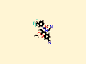 CCOC(=O)C1=C(C)N(c2cccc(C(F)(F)F)c2)C(=O)N(CC#N)C1c1ccc(C#N)cc1